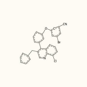 N#Cc1cc(Br)cc(Oc2cccc(-c3c(Cc4ccccc4)cnc4c(Cl)cccc34)c2)c1